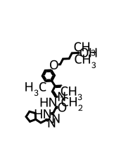 C=N/C(=C\C(=C/C)c1cc(OCCCCC(C)(C)O)ccc1C)NC(=O)c1nnc(CC2CCCC2)[nH]1